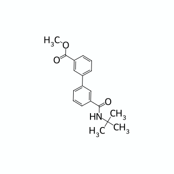 COC(=O)c1cccc(-c2cccc(C(=O)NC(C)(C)C)c2)c1